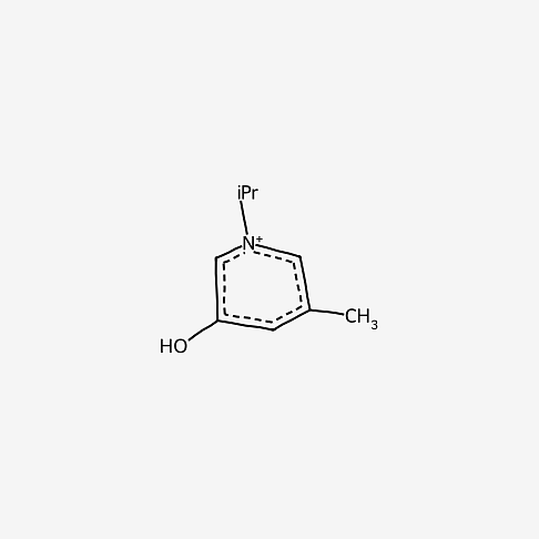 Cc1cc(O)c[n+](C(C)C)c1